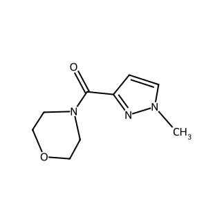 Cn1ccc(C(=O)N2CCOCC2)n1